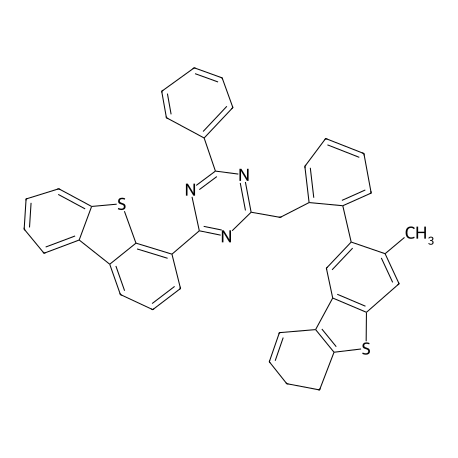 Cc1cc2sc3c(c2cc1-c1ccccc1Cc1nc(-c2ccccc2)nc(-c2cccc4c2sc2ccccc24)n1)C=CCC3